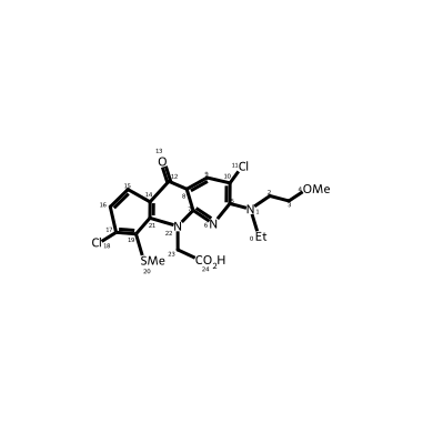 CCN(CCOC)c1nc2c(cc1Cl)c(=O)c1ccc(Cl)c(SC)c1n2CC(=O)O